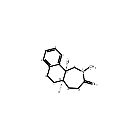 CN1C[C@@H]2c3ccccc3CC[C@@H]2CCC1=O